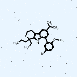 CCCC1(CC)OCCc2c1[nH]c1c(-c3cc(Br)ccc3OC)cc(C(C)C)cc21